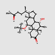 CC[C@@H]1[C@@H](O)C2C3CC[C@H]([C@H](C)CCC(=O)OC)[C@@]3(C)CC(O[Si](CC)(CC)CC)C2[C@@]2(C)CCC(=O)C[C@@]12C